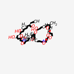 C#CC[C@H](/C=C/C(C)=C/[C@@H](O)[C@H]1C[C@@H](CO)C[C@@](O)(Cc2nc(/C=C(\C)[C@@H]3O[C@@H]4C/C=C/c5nc(co5)[C@H]5OCC[C@@H](C[C@H]6CC(=C)C[C@H](C/C=C/C(=O)O[C@@H]([C@H]4C)[C@H]3C)O6)O5)co2)O1)CO